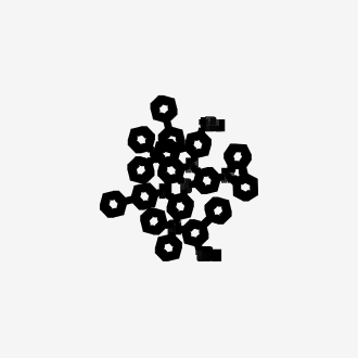 CC(C)(C)c1cc(-c2ccccc2)cc([Si](c2ccccc2)(c2ccccc2)c2ccc3c(c2)N(c2ccc(-c4ccccc4)cc2)c2cc([Si](c4ccccc4)(c4ccccc4)c4cccc(-c5ccccc5)c4)cc4c2B3c2ccc(-n3c5ccccc5c5ccccc53)cc2N4c2ccc(C(C)(C)C)cc2-c2ccccc2)c1